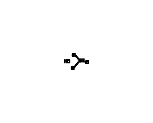 Cl.Cl[SiH](Cl)Cl